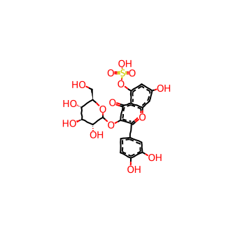 O=c1c(OC2O[C@H](CO)[C@@H](O)[C@H](O)[C@H]2O)c(-c2ccc(O)c(O)c2)oc2cc(O)cc(OS(=O)(=O)O)c12